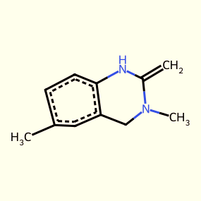 C=C1Nc2ccc(C)cc2CN1C